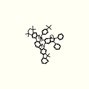 CC(C)(C)c1ccc(N2B3c4cc5oc(-c6ccccc6)c(-c6ccccc6)c5cc4-n4c5cc6c(cc5c5ccc(c3c54)-c3cc4c(cc32)C(C)(C)CCC4(C)C)-c2ccccc2C6(C)C)cc1